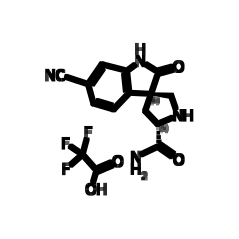 N#Cc1ccc2c(c1)NC(=O)[C@@]21CN[C@H](C(N)=O)C1.O=C(O)C(F)(F)F